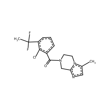 Cc1cnc2n1CCN(C(=O)c1cccc(C(C)(F)F)c1Cl)C2